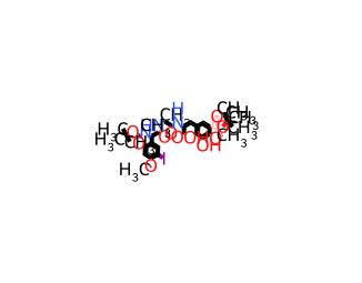 COc1ccc(C(C(=O)NC(C)C(=O)NC(Cc2cc(O)c(OC)c(B3OC(C)(C)C(C)(C)O3)c2)C(=O)O)N(C)C(=O)OC(C)(C)C)cc1I